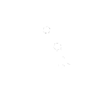 NC(=O)[C@@H]1CC[C@H](c2ccc(OC(c3ccccc3F)C(F)(F)F)cn2)N1